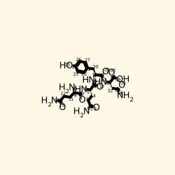 NC(=O)CC[C@H](NC(=O)[C@@H](N)CCC(N)=O)C(=O)N[C@@H](Cc1ccc(O)cc1)C(=O)N[C@@H](CC(N)=O)C(=O)O